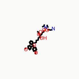 COc1ccc(C(OCCCCCC(O)C(CCCOP(OCCC#N)N(C(C)C)C(C)C)OC(C)=O)(c2ccccc2)c2ccc(OC)cc2)cc1